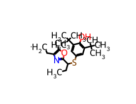 [CH2]Cc1nc(C(CC)Sc2cc(C(C)(C)C)c(O)c(C(C)(C)C)c2)oc1C